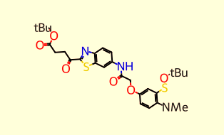 CNc1ccc(OCC(=O)Nc2ccc3nc(C(=O)CCC(=O)OC(C)(C)C)sc3c2)cc1SOC(C)(C)C